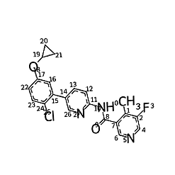 Cc1c(F)cncc1C(=O)Nc1ccc(-c2cc(OC3CC3)ccc2Cl)cn1